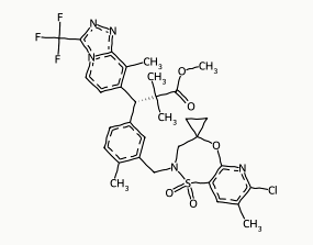 COC(=O)C(C)(C)[C@H](c1ccc(C)c(CN2CC3(CC3)Oc3nc(Cl)c(C)cc3S2(=O)=O)c1)c1ccn2c(C(F)(F)F)nnc2c1C